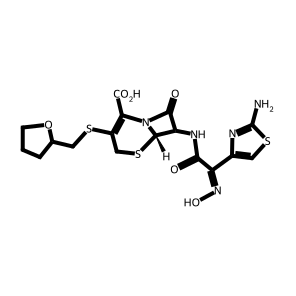 Nc1nc(/C(=N/O)C(=O)NC2C(=O)N3C(C(=O)O)=C(SCC4CCCO4)CS[C@@H]23)cs1